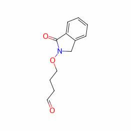 O=CCCCON1Cc2ccccc2C1=O